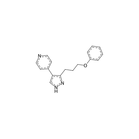 c1ccc(OCCCc2n[nH]cc2-c2ccncc2)cc1